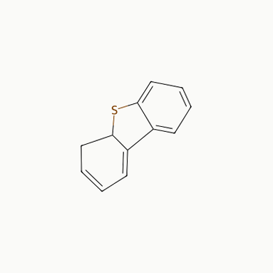 C1=CCC2Sc3ccccc3C2=C1